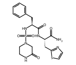 NC(=O)[C@H](Cc1nccs1)NC(=O)[C@H](Cc1ccccc1)NS(=O)(=O)N1CCNC(=O)C1